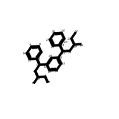 CCC(C)C[C](c1ccccc1)c1cccc([C](CC(C)CC)c2ccccc2)c1